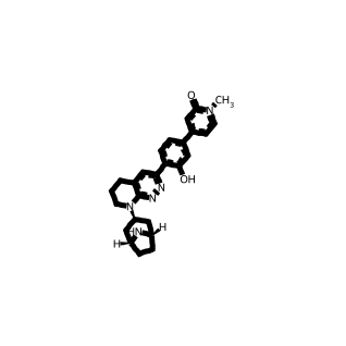 Cn1ccc(-c2ccc(-c3cc4c(nn3)N([C@@H]3C[C@H]5CC[C@@H](C3)N5)CCC4)c(O)c2)cc1=O